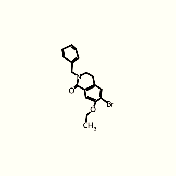 CCOc1cc2c(cc1Br)CCN(Cc1ccccc1)C2=O